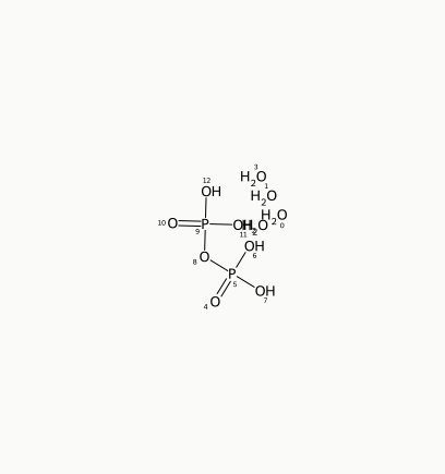 O.O.O.O.O=P(O)(O)OP(=O)(O)O